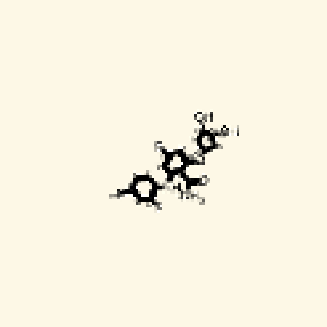 NC(=O)c1c(Nc2ccc(I)cc2F)cc(F)cc1OC1C[C@@H](O)[C@@H](O)C1